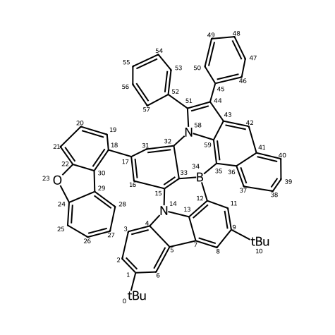 CC(C)(C)c1ccc2c(c1)c1cc(C(C)(C)C)cc3c1n2-c1cc(-c2cccc4oc5ccccc5c24)cc2c1B3c1c3ccccc3cc3c(-c4ccccc4)c(-c4ccccc4)n-2c13